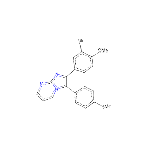 COc1ccc(-c2nc3ncccn3c2-c2ccc(SC)cc2)cc1C(C)(C)C